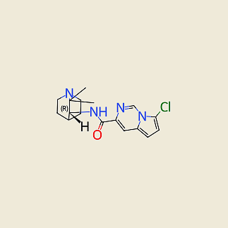 CC1(C)[C@H](NC(=O)c2cc3ccc(Cl)n3cn2)C2CCN1CC2